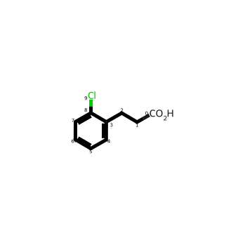 O=C(O)CCc1cc[c]cc1Cl